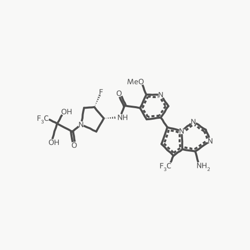 COc1ncc(-c2cc(C(F)(F)F)c3c(N)ncnn23)cc1C(=O)N[C@@H]1CN(C(=O)C(O)(O)C(F)(F)F)C[C@@H]1F